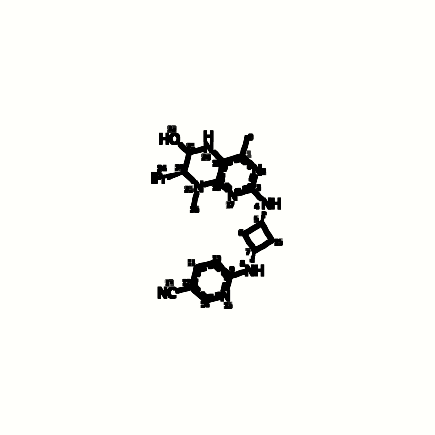 Cc1nc(N[C@H]2C[C@@H](Nc3ccc(C#N)cn3)C2)nc2c1NC(O)[C@H](C(C)C)N2C